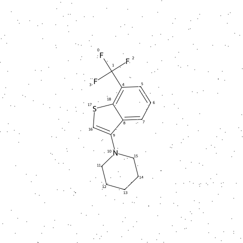 FC(F)(F)c1cccc2c(N3CCCCC3)csc12